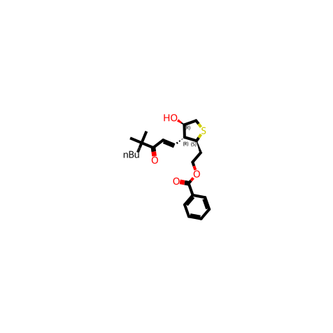 CCCCC(C)(C)C(=O)C=C[C@H]1[C@H](CCOC(=O)c2ccccc2)SC[C@@H]1O